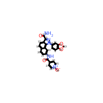 NC(=O)c1nn(-c2ccc3c(c2)OCO3)c2c1ccc1ccc(NC(=O)c3cc[n+]([O-])cc3)cc12